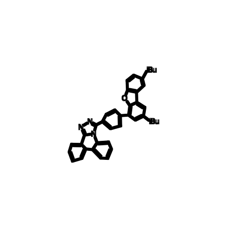 CCC(C)c1ccc2oc3c(-c4ccc(-c5nnc6c7ccccc7c7ccccc7n56)cc4)cc(C(C)CC)cc3c2c1